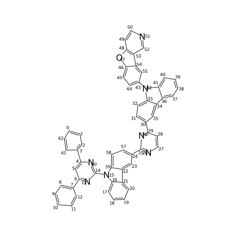 c1ccc(-c2cc(-c3ccccc3)nc(-n3c4ccccc4c4cc(-c5nccc(-c6ccc7c(c6)c6ccccc6n7-c6ccc7oc8ccncc8c7c6)n5)ccc43)n2)cc1